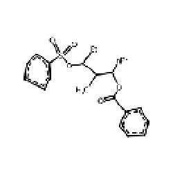 CCCC(OC(=O)c1ccccc1)C(C)C(CC)OS(=O)(=O)c1ccccc1